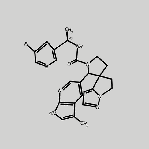 Cc1c[nH]c2ncc(C3N(C(=O)N[C@H](C)c4cncc(F)c4)CCC34CCn3nccc34)cc12